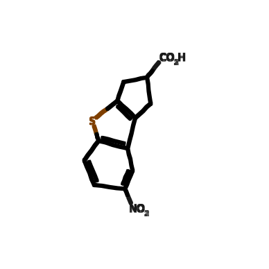 O=C(O)C1Cc2sc3ccc([N+](=O)[O-])cc3c2C1